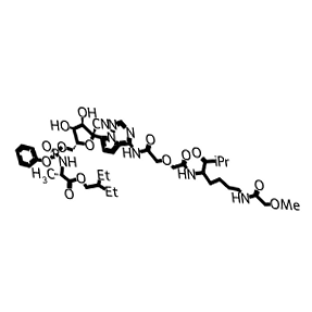 CCC(CC)COC(=O)[C@H](C)NP(=O)(OC[C@H]1O[C@@](C#N)(c2ccc3c(NC(=O)COCC(=O)NC(CCCCNC(=O)COC)C(=O)C(C)C)ncnn23)[C@H](O)[C@@H]1O)Oc1ccccc1